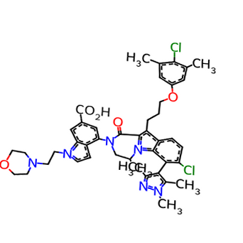 Cc1cc(OCCCc2c3n(c4c(-c5c(C)nn(C)c5C)c(Cl)ccc24)C(C)CN(c2cc(C(=O)O)cc4c2ccn4CCN2CCOCC2)C3=O)cc(C)c1Cl